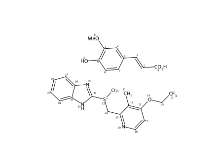 COc1cc(/C=C/C(=O)O)ccc1O.Cc1c(OCC(F)(F)F)ccnc1C[S+]([O-])c1nc2ccccc2[nH]1